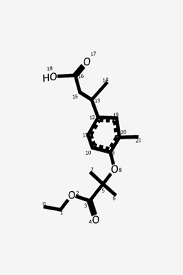 CCOC(=O)C(C)(C)Oc1ccc(C(C)CC(=O)O)cc1C